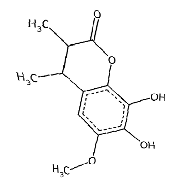 COc1cc2c(c(O)c1O)OC(=O)C(C)C2C